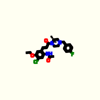 CCOc1cc(C=CC(=O)N2CCN(Cc3ccc(F)cc3)C[C@H]2C)c(NC(C)=O)cc1Cl